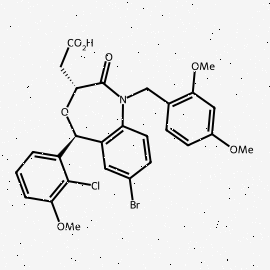 COc1ccc(CN2C(=O)[C@@H](CC(=O)O)O[C@H](c3cccc(OC)c3Cl)c3cc(Br)ccc32)c(OC)c1